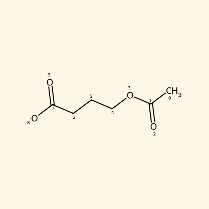 CC(=O)OCCCC([O])=O